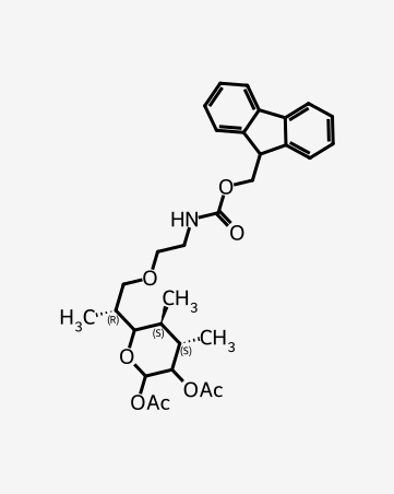 CC(=O)OC1OC([C@H](C)COCCNC(=O)OCC2c3ccccc3-c3ccccc32)[C@@H](C)[C@H](C)C1OC(C)=O